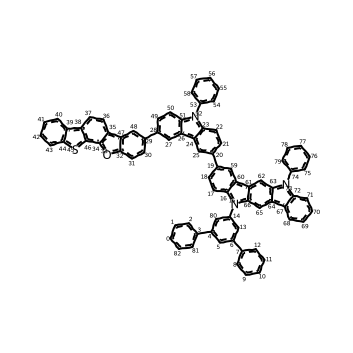 c1ccc(-c2cc(-c3ccccc3)cc(-n3c4ccc(-c5ccc6c(c5)c5cc(-c7ccc8oc9c(ccc%10c%11ccccc%11sc%109)c8c7)ccc5n6-c5ccccc5)cc4c4cc5c(cc43)c3ccccc3n5-c3ccccc3)c2)cc1